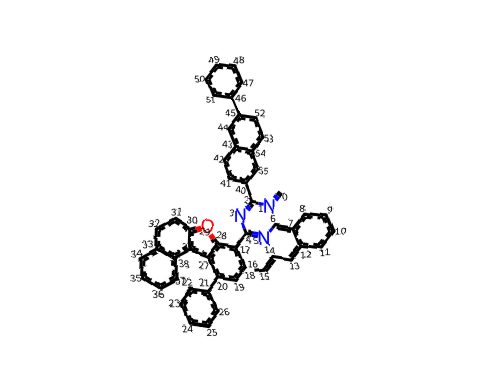 C=N\C(=N/C(=N\C=c1\cccc\c1=C\C=C\C)c1ccc(-c2ccccc2)c2c1oc1ccc3ccccc3c12)c1ccc2cc(-c3ccccc3)ccc2c1